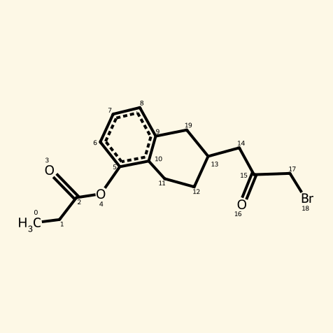 CCC(=O)Oc1cccc2c1CCC(CC(=O)CBr)C2